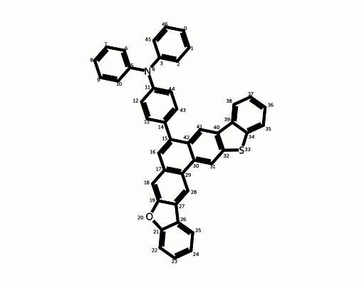 c1ccc(N(c2ccccc2)c2ccc(-c3cc4cc5oc6ccccc6c5cc4c4cc5sc6ccccc6c5cc34)cc2)cc1